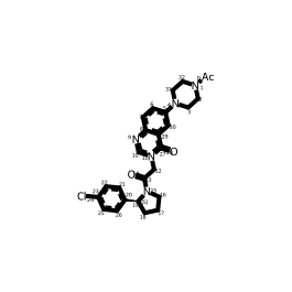 CC(=O)N1CCN(c2ccc3ncn(CC(=O)N4CCC[C@H]4c4ccc(Cl)cc4)c(=O)c3c2)CC1